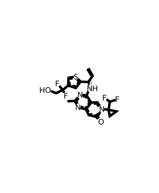 C=C[C@@H](Nc1nc(C)nc2cc(=O)n(C3(C(F)F)CC3)cc12)c1cc(C(F)(F)CO)cs1